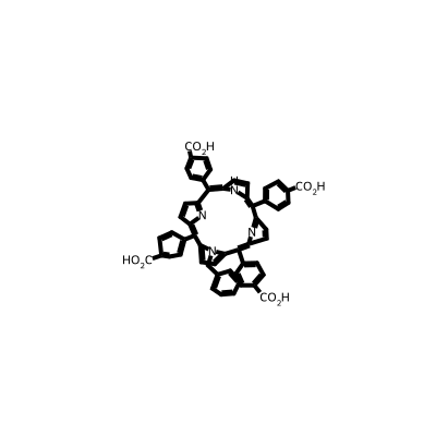 O=C(O)c1ccc(-c2c3nc(c(-c4ccc(C(=O)O)cc4)c4ccc(c(-c5ccc(C(=O)O)cc5)c5nc(c(-c6ccc(C(=O)O)cc6)c6ccc2[nH]6)C=C5)n4Cc2ccccc2)C=C3)cc1